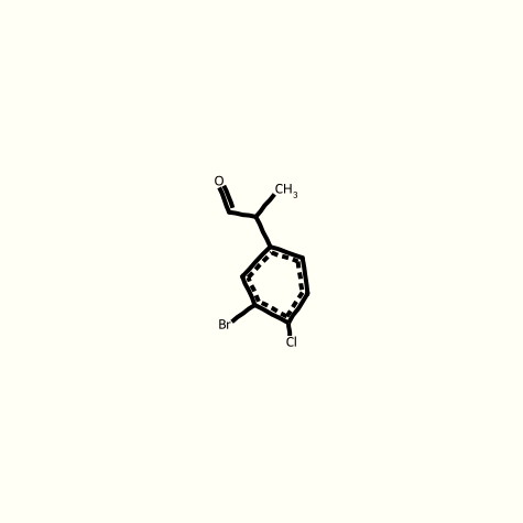 CC(C=O)c1ccc(Cl)c(Br)c1